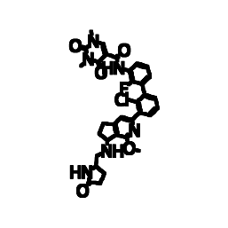 COc1nc(-c2cccc(-c3cccc(NC(=O)c4cn(C)c(=O)n(C)c4=O)c3F)c2Cl)cc2c1C(NCC1CCC(=O)N1)CC2